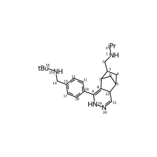 CC(C)NCC1CC2CC1C1=C(c3ccc(CNC(C)(C)C)cc3)NN=CC12